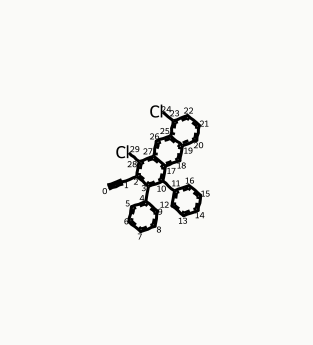 C#Cc1c(-c2ccccc2)c(-c2ccccc2)c2cc3cccc(Cl)c3cc2c1Cl